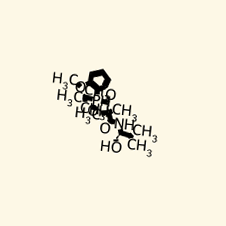 COc1cccc2c1[PH](O)(C(C)(C)C)[C@@H](C(C)(C)C(=O)N[C@@H](CO)C(C)C)O2